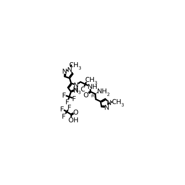 Cn1cc(C[C@@H](N)C(=O)NC(C)(C)Cn2nc(C(F)(F)F)cc2-c2cnn(C)c2)cn1.O=C(O)C(F)(F)F